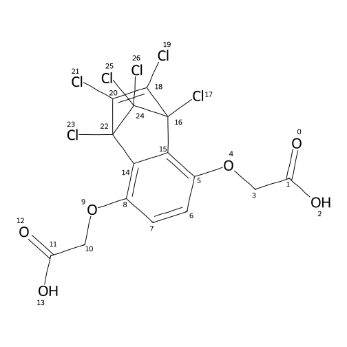 O=C(O)COc1ccc(OCC(=O)O)c2c1C1(Cl)C(Cl)=C(Cl)C2(Cl)C1(Cl)Cl